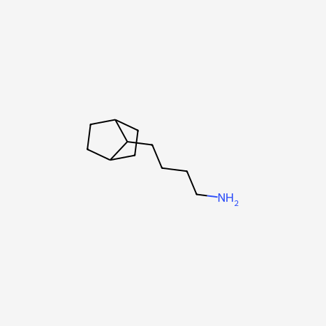 NCCCCC1C2CCC1CC2